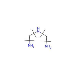 CC(C)(N)CC(C)(C)NC(C)(C)CC(C)(C)N